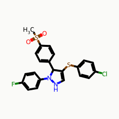 CS(=O)(=O)c1ccc(C2C(Sc3ccc(Cl)cc3)=CNN2c2ccc(F)cc2)cc1